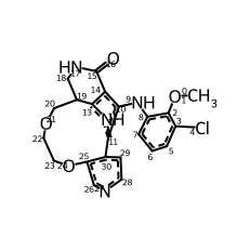 COc1c(Cl)cccc1Nc1c2[nH]c3c1C(=O)NCC3COCCOc1cnccc1-2